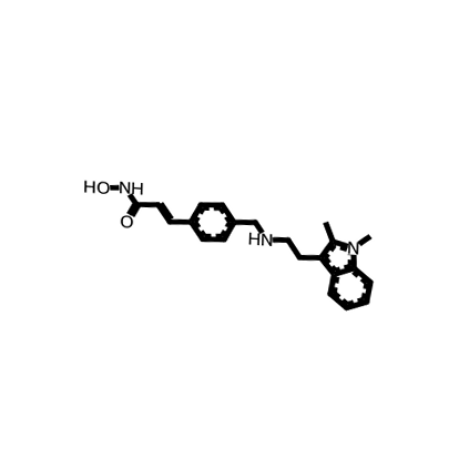 Cc1c(CCNCc2ccc(/C=C/C(=O)NO)cc2)c2ccccc2n1C